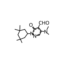 CN(C)c1cnn(C2CC(C)(C)CC(C)(C)C2)c(=O)c1C=O